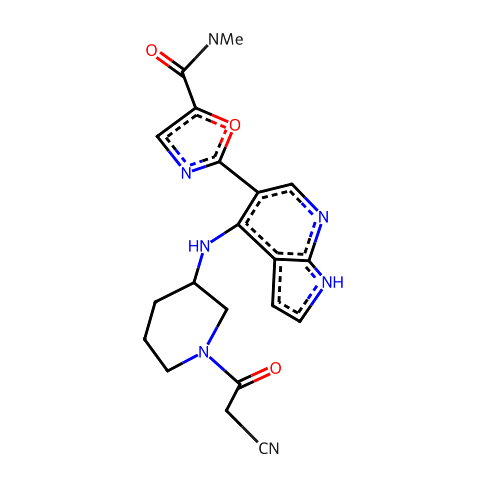 CNC(=O)c1cnc(-c2cnc3[nH]ccc3c2NC2CCCN(C(=O)CC#N)C2)o1